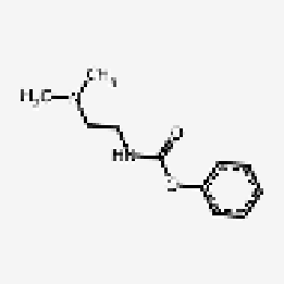 CN(C)CCNC(=O)Oc1ccccc1